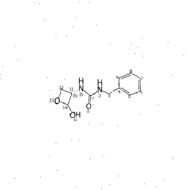 O=C(NCc1ccccc1)N[C@H]1COC1O